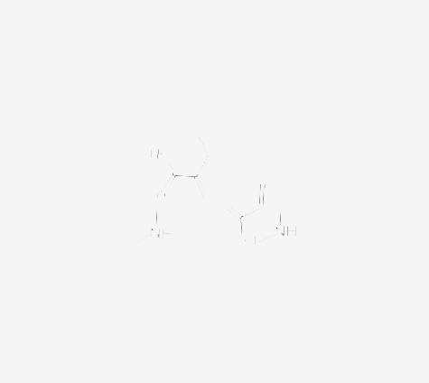 C=C(CC)C(=O)O.C=CC(=O)O.CNC.CNC